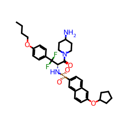 CCCCOc1ccc(C(F)(F)[C@@H](NS(=O)(=O)c2ccc3cc(OC4CCCC4)ccc3c2)C(=O)N2CCC(N)CC2)cc1